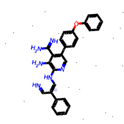 N=C/C(=C\Nc1ncc(-c2ccc(Oc3ccccc3)cc2)c(C(=N)N)c1N)c1ccccc1